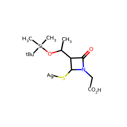 CC(O[Si](C)(C)C(C)(C)C)C1C(=O)N(CC(=O)O)C1[S][Ag]